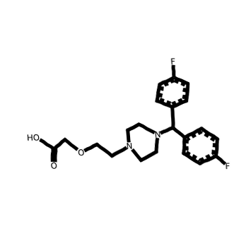 O=C(O)COCCN1CCN(C(c2ccc(F)cc2)c2ccc(F)cc2)CC1